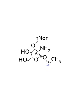 C/C=C\O[C@H]1OC(CO)C(O)C(OCCCCCCCCCC)[C@H]1N